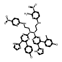 Cc1cc(Cl)ccc1-c1nc(N(CCNc2ccc([N+](=O)[O-])c(N)n2)N(CCNc2ccc([N+](=O)[O-])cn2)c2ncc(-c3ncc[nH]3)c(-c3ccc(Cl)cc3)n2)ncc1-c1ncc[nH]1